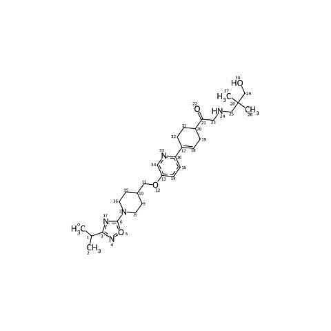 CC(C)c1noc(N2CCC(COc3ccc(C4=CCC(C(=O)CNCC(C)(C)CO)CC4)nc3)CC2)n1